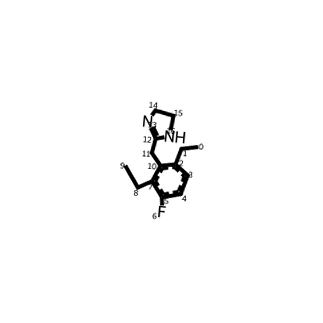 CCc1ccc(F)c(CC)c1CC1=NCCN1